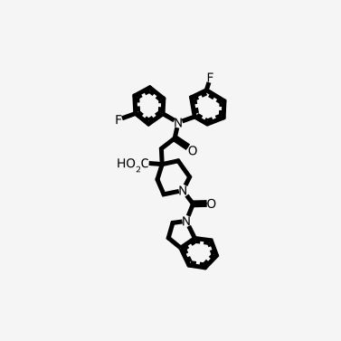 O=C(N1CCC(CC(=O)N(c2cccc(F)c2)c2cccc(F)c2)(C(=O)O)CC1)N1CCc2ccccc21